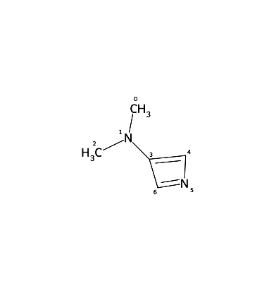 CN(C)C1=CN=C1